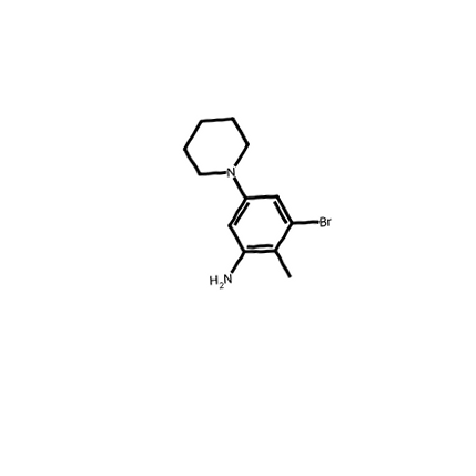 Cc1c(N)cc(N2CCCCC2)cc1Br